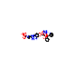 N=C(N[C@H]1CCN(C(=O)O)C1)c1ccc(OCC(ON)C(=O)OC(c2ccccc2)c2ccccc2)cc1